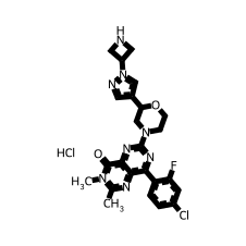 Cc1nc2c(-c3ccc(Cl)cc3F)nc(N3CCOC(c4cnn(C5CNC5)c4)C3)nc2c(=O)n1C.Cl